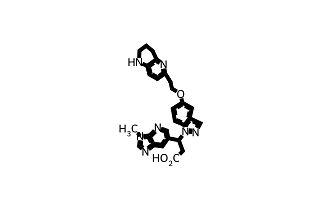 Cn1cnc2cc(C(CC(=O)O)n3ncc4cc(OCCc5ccc6c(n5)CCCN6)ccc43)cnc21